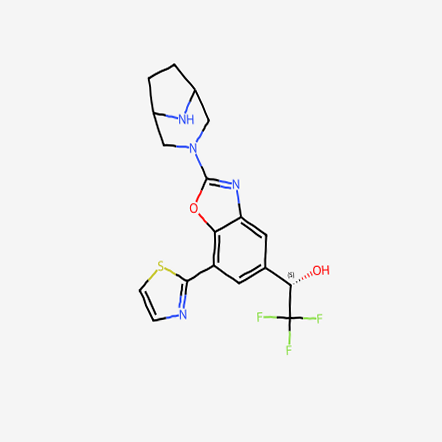 O[C@@H](c1cc(-c2nccs2)c2oc(N3CC4CCC(C3)N4)nc2c1)C(F)(F)F